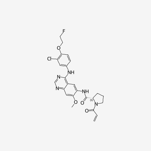 C=CC(=O)N1CCC[C@H]1C(=O)Nc1cc2c(Nc3ccc(OCCF)c(Cl)c3)ncnc2cc1OC